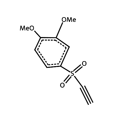 C#CS(=O)(=O)c1ccc(OC)c(OC)c1